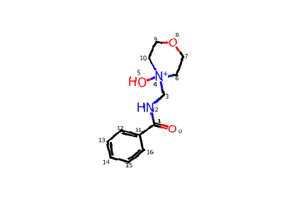 O=C(NC[N+]1(O)CCOCC1)c1ccccc1